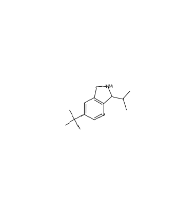 CC(C)C1NCc2cc(C(C)(C)C)ccc21